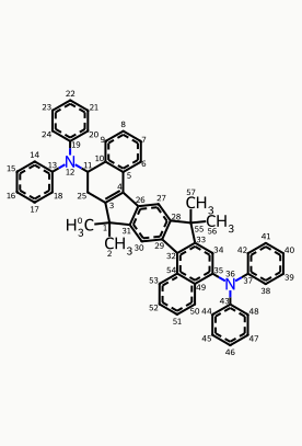 CC1(C)C2=C(c3ccccc3C(N(c3ccccc3)c3ccccc3)C2)c2cc3c(cc21)-c1c(cc(N(c2ccccc2)c2ccccc2)c2ccccc12)C3(C)C